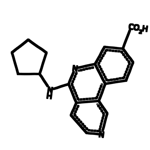 O=C(O)c1ccc2c(c1)nc(NC1CCCC1)c1ccncc12